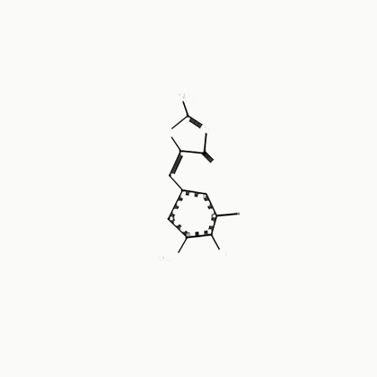 COc1cc(C=C2SC(N)=NC2=O)cc(F)c1O